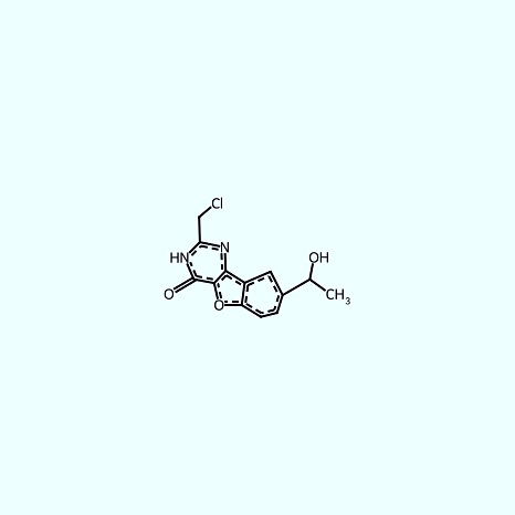 CC(O)c1ccc2oc3c(=O)[nH]c(CCl)nc3c2c1